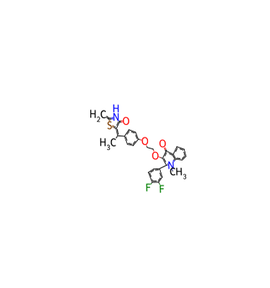 C=c1[nH]c(=O)/c(=C(/C)c2ccc(OCCOc3c(-c4ccc(F)c(F)c4)n(C)c4ccccc4c3=O)cc2)s1